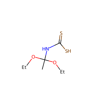 CCOC(C)(NC(=S)S)OCC